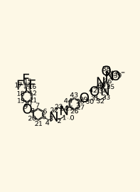 C[C@@H]1CN(Cc2ccc(Oc3ccc(C(F)(F)F)cc3)cc2)CCN1c1ccc(OC[C@H]2CCn3cc([N+](=O)[O-])nc3O2)cc1